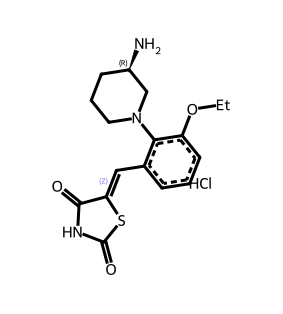 CCOc1cccc(/C=C2\SC(=O)NC2=O)c1N1CCC[C@@H](N)C1.Cl